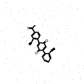 C#Cc1ccccc1C1=CC(=O)C(c2ccc(C(C)=S)cc2C#C)=CC1=O